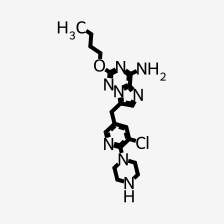 CCCCOc1nc(N)c2ncc(Cc3cnc(N4CCNCC4)c(Cl)c3)n2n1